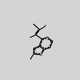 C/C(F)=C(\C)c1nccc2oc(C)cc12